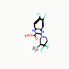 CC1CN(c2nc3cc(F)c(F)cc3nc2C(=O)O)CCC1(F)F